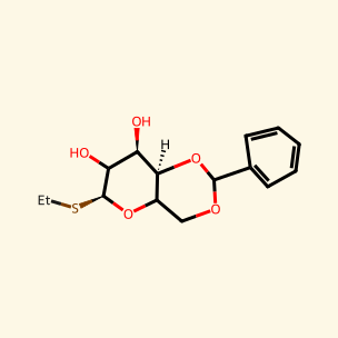 CCS[C@@H]1OC2COC(c3ccccc3)O[C@@H]2[C@H](O)C1O